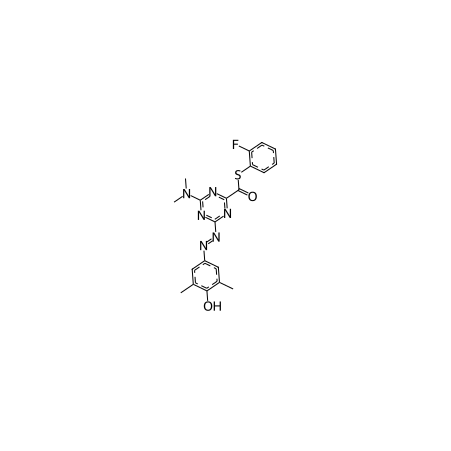 Cc1cc(/N=N/c2nc(C(=O)Sc3ccccc3F)nc(N(C)C)n2)cc(C)c1O